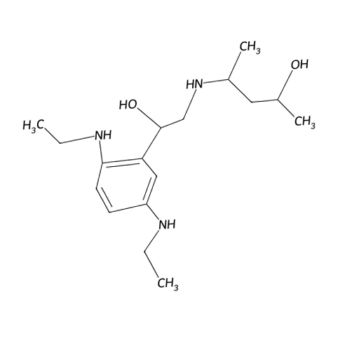 CCNc1ccc(NCC)c(C(O)CNC(C)CC(C)O)c1